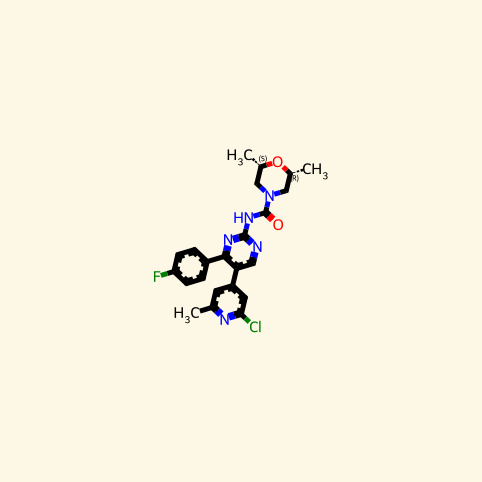 Cc1cc(-c2cnc(NC(=O)N3C[C@@H](C)O[C@@H](C)C3)nc2-c2ccc(F)cc2)cc(Cl)n1